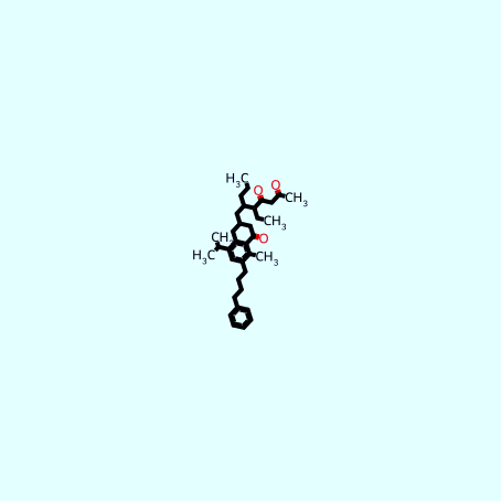 CCCC(CC1CC(=O)c2c(C)c(CCCCc3ccccc3)cc(C(C)C)c2C1)C(CC)C(=O)CC(C)=O